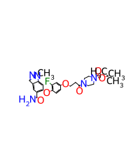 Cn1ncc2cc(C(N)=O)c(Oc3ccc(OCCC(=O)N4CCN(C(=O)OC(C)(C)C)CC4)cc3F)cc21